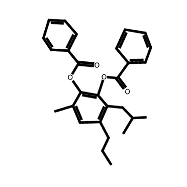 CCCc1cc(C)c(OC(=O)c2ccccc2)c(OC(=O)c2ccccc2)c1CC(C)C